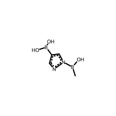 CB(O)n1cc(B(O)O)cn1